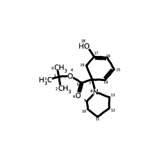 CC(C)(C)OC(=O)C1(N2CCCCC2)C=CC=C(O)C1